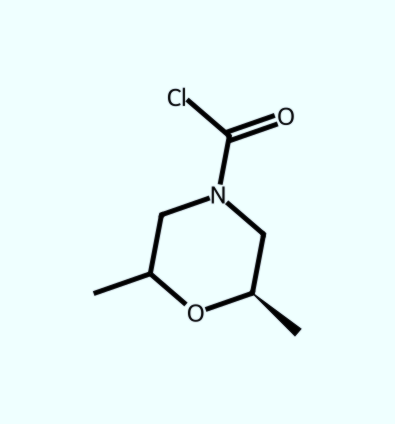 CC1CN(C(=O)Cl)C[C@@H](C)O1